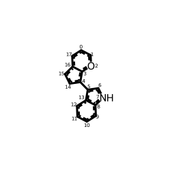 c1coc2c(-c3c[nH]c4ccccc34)ccc-2c1